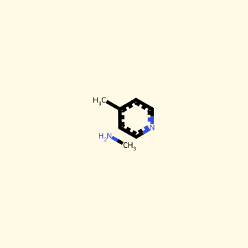 CN.Cc1ccncc1